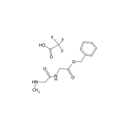 CNCC(=O)NCC(=O)OCc1ccccc1.O=C(O)C(F)(F)F